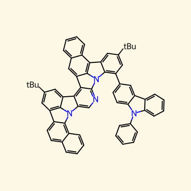 CC(C)(C)c1cc(-c2ccc3c(c2)c2ccccc2n3-c2ccccc2)c2c(c1)c1c3ccccc3cc3c4c5c6cc(C(C)(C)C)cc7c8ccc9ccccc9c8n(c5cnc4n2c31)c76